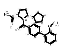 COc1ccccc1-c1ccc(C(=O)N2[C@@H](C3CCCC3)CC[C@H]2C(=O)O)cc1